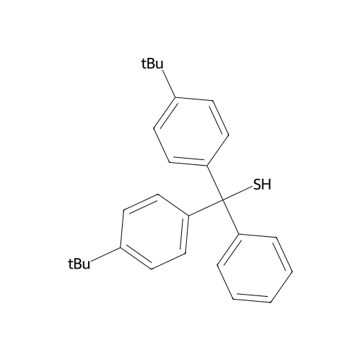 CC(C)(C)c1ccc(C(S)(c2ccccc2)c2ccc(C(C)(C)C)cc2)cc1